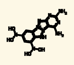 Nc1nc(N)c2c(n1)n[n+]1c3cc(N(O)O)cc(N(O)O)c3[nH]n21